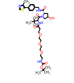 Cc1ncsc1-c1ccc(CNC(=O)[C@@H]2C[C@@H](O)CN2C(=O)[C@@H](NC(=O)CCOCCOCCOCCNC(=O)OC(C)(C)C)C(C)(C)C)cc1